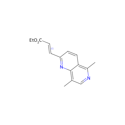 CCOC(=O)/C=C/c1ccc2c(C)ncc(C)c2n1